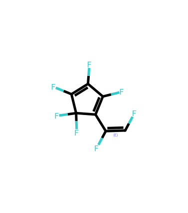 F/C=C(/F)C1=C(F)C(F)=C(F)C1(F)F